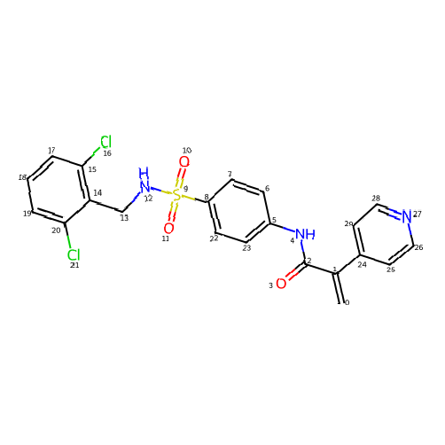 C=C(C(=O)Nc1ccc(S(=O)(=O)NCc2c(Cl)cccc2Cl)cc1)c1ccncc1